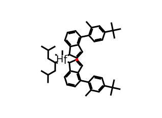 Cc1cc(C(C)(C)C)ccc1-c1cccc2c1C=C[CH]2[Hf]([CH3])([CH3])(=[C](CC(C)C)CC(C)C)[CH]1C=Cc2c(-c3ccc(C(C)(C)C)cc3C)cccc21